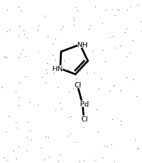 C1=CNCN1.[Cl][Pd][Cl]